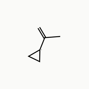 C=C(C)[C]1CC1